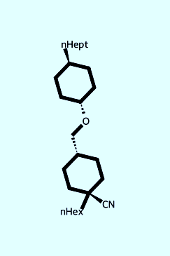 CCCCCCC[C@H]1CC[C@H](OC[C@H]2CC[C@@](C#N)(CCCCCC)CC2)CC1